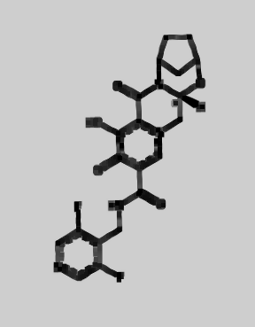 O=C(NCc1c(F)cncc1F)c1cn2c(c(O)c1=O)C(=O)N1C3CCC(C3)O[C@@H]1C2